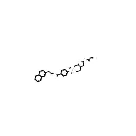 C=CC(=O)NC1CC2CCN(S(=O)(=O)c3ccc(C(=O)NCCc4ccc5ccccc5c4)cc3)CC2O1